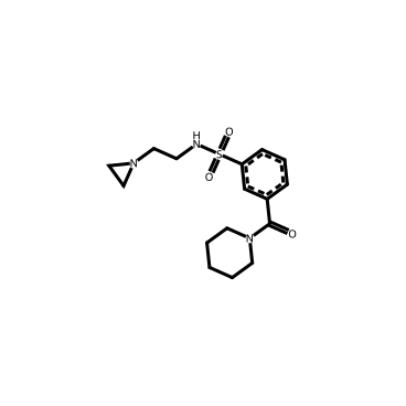 O=C(c1cccc(S(=O)(=O)NCCN2CC2)c1)N1CCCCC1